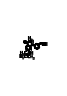 CC(C)(C)Nc1ncc(C(N)=O)c(Nc2cccc(CO)c2)n1